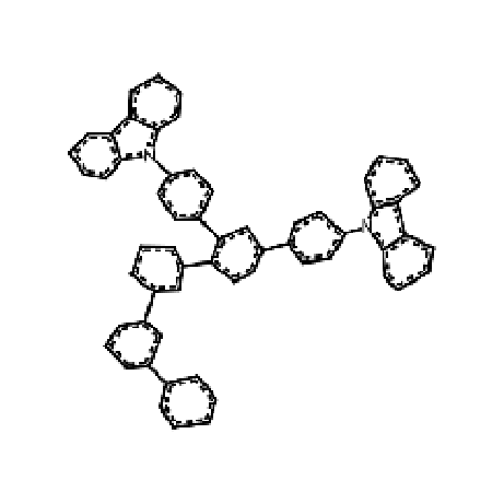 c1ccc(-c2cccc(-c3cccc(-c4ccc(-c5ccc(-n6c7ccccc7c7ccccc76)cc5)cc4-c4ccc(-n5c6ccccc6c6ccccc65)cc4)c3)c2)cc1